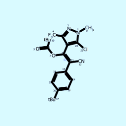 Cn1nc(C(F)(F)F)c(/C(OC(=O)C(C)(C)C)=C(\C#N)c2ccc(C(C)(C)C)cc2)c1Cl